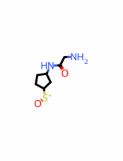 NCC(=O)NC1CCC([S+]=O)C1